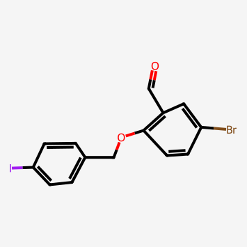 O=Cc1cc(Br)ccc1OCc1ccc(I)cc1